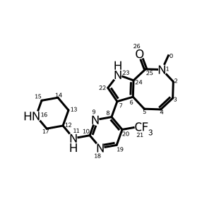 CN1CC=CCc2c(-c3nc(NC4CCCNC4)ncc3C(F)(F)F)c[nH]c2C1=O